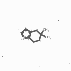 CC1(C)CCc2sccc2C1